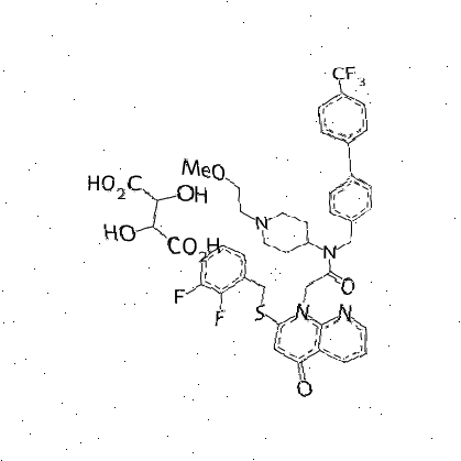 COCCN1CCC(N(Cc2ccc(-c3ccc(C(F)(F)F)cc3)cc2)C(=O)Cn2c(SCc3cccc(F)c3F)cc(=O)c3cccnc32)CC1.O=C(O)C(O)C(O)C(=O)O